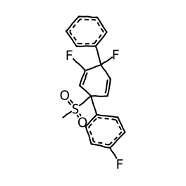 CS(=O)(=O)C1(c2ccc(F)cc2)C=CC(F)(c2ccccc2)C(F)=C1